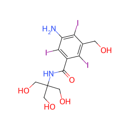 Nc1c(I)c(CO)c(I)c(C(=O)NC(CO)(CO)CO)c1I